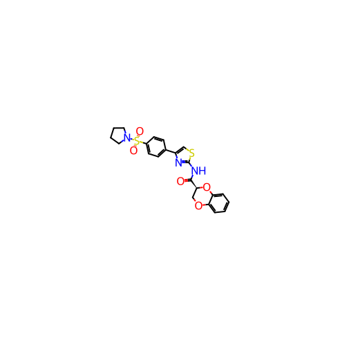 O=C(Nc1nc(-c2ccc(S(=O)(=O)N3CCCC3)cc2)cs1)[C@@H]1COc2ccccc2O1